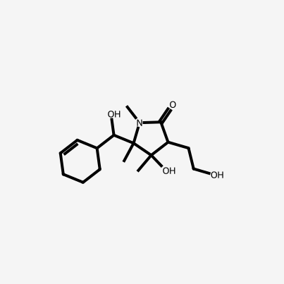 CN1C(=O)C(CCO)C(C)(O)C1(C)C(O)C1C=CCCC1